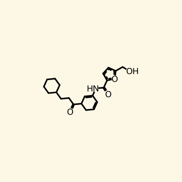 O=C(NC1=CC(C(=O)CCC2CCCCC2)CC=C1)c1ccc(CO)o1